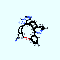 Cn1cncc1C1(N)c2ccc(C#N)c(c2)COc2cccc(c2)-c2nccc3ccc1cc23